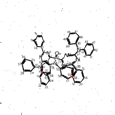 O=P(c1nc(-c2ccccc2)nc(N(c2ccccc2)c2ccccc2)n1)(c1nc(-c2ccccc2)nc(N(c2ccccc2)c2ccccc2)n1)N(c1ccccc1)c1ccccc1